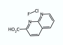 FCl.O=C(O)c1ccc2cccnc2n1